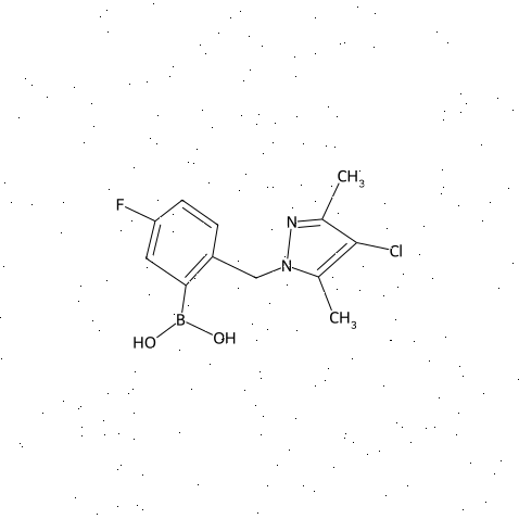 Cc1nn(Cc2ccc(F)cc2B(O)O)c(C)c1Cl